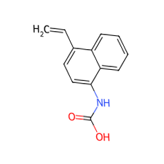 C=Cc1ccc(NC(=O)O)c2ccccc12